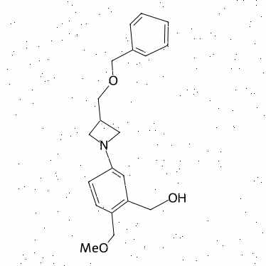 COCc1ccc(N2CC(COCc3ccccc3)C2)cc1CO